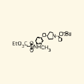 CCOC(=O)CS(=O)(=O)Nc1ccc(OC2CCN(C(=O)OC(C)(C)C)CC2)cc1C